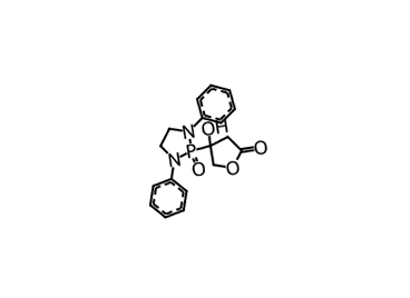 O=C1CC(O)(P2(=O)N(c3ccccc3)CCN2c2ccccc2)CO1